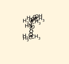 CC(C)(C)CC1CCC(CC(=O)NCCC(C)(C)OCC(C)(C)O)CC1